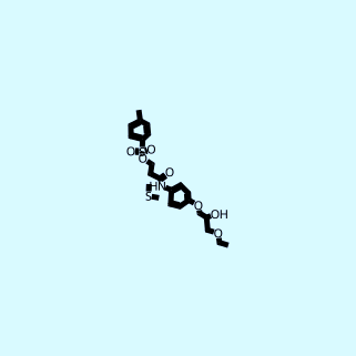 CCOCC(O)COc1ccc(NC(=O)CCOS(=O)(=O)c2ccc(C)cc2)cc1.CSC